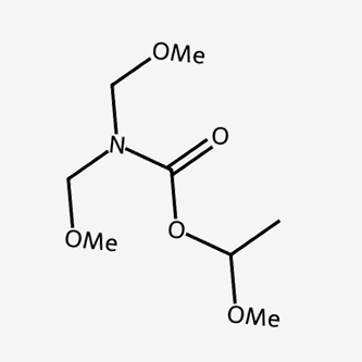 COCN(COC)C(=O)OC(C)OC